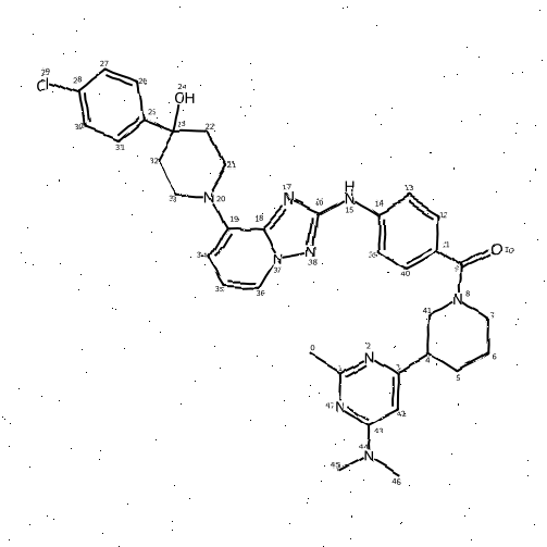 Cc1nc(C2CCCN(C(=O)c3ccc(Nc4nc5c(N6CCC(O)(c7ccc(Cl)cc7)CC6)cccn5n4)cc3)C2)cc(N(C)C)n1